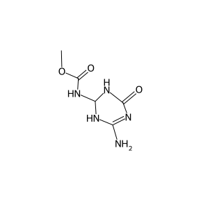 COC(=O)NC1NC(=O)N=C(N)N1